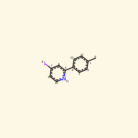 Cc1ccc(-c2cc(I)ccn2)cc1